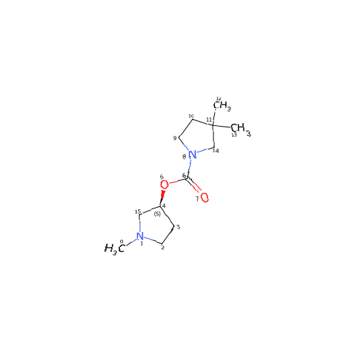 CN1CC[C@H](OC(=O)N2CCC(C)(C)C2)C1